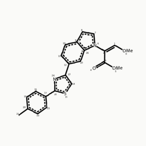 COC=C(C(=O)OC)n1ccc2ccc(-c3csc(-c4ccc(C)cc4)n3)cc21